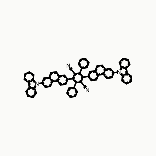 N#Cc1c(-c2ccccc2)c(-c2ccc3c(ccc4cc(-n5c6ccccc6c6ccccc65)ccc43)c2)c(C#N)c(-c2ccccc2)c1-c1ccc2c(ccc3cc(-n4c5ccccc5c5ccccc54)ccc32)c1